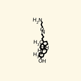 C[C@]12CCC(O)CC1CC[C@@H]1[C@H]2CC[C@]2(C)C(CCC=NOCCCN)CC[C@@H]12